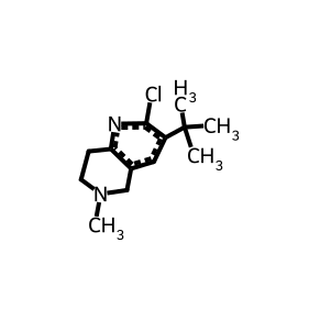 CN1CCc2nc(Cl)c(C(C)(C)C)cc2C1